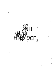 C=CC(=O)Nc1cccc2c1ccn2-c1nc(Nc2cnn(C)c2)ncc1-c1ccc(C(F)(F)F)cc1